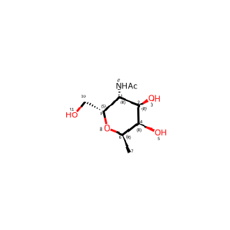 CC(=O)N[C@@H]1[C@@H](O)[C@@H](O)[C@@H](C)O[C@@H]1CO